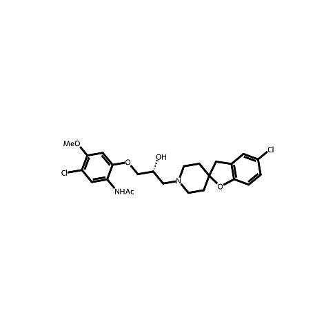 COc1cc(OC[C@H](O)CN2CCC3(CC2)Cc2cc(Cl)ccc2O3)c(NC(C)=O)cc1Cl